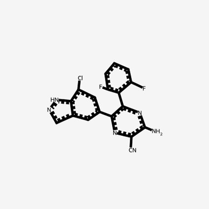 N#Cc1nc(-c2cc(Cl)c3[nH]ncc3c2)c(-c2c(F)cccc2F)nc1N